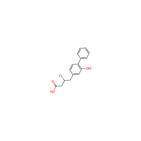 O=C(O)CC(Cl)Cc1ccc(-c2ccccc2)c(O)c1